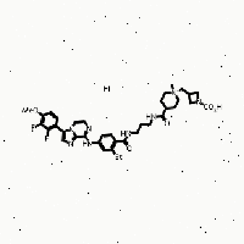 CCc1cc(Nc2nccn3c(-c4ccc(OC)c(F)c4F)cnc23)ccc1C(=O)NCCCNC(=O)C1CC[N+](C)(CC2CN(C(=O)O)C2)CC1.I